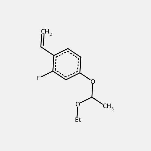 C=Cc1ccc(OC(C)OCC)cc1F